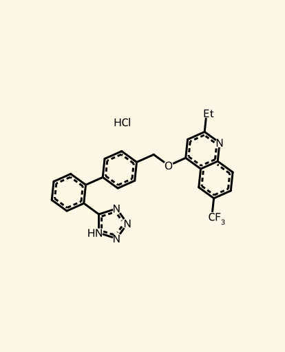 CCc1cc(OCc2ccc(-c3ccccc3-c3nnn[nH]3)cc2)c2cc(C(F)(F)F)ccc2n1.Cl